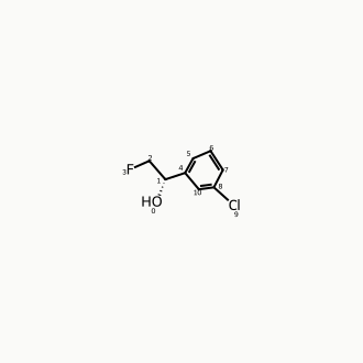 O[C@H](CF)c1cccc(Cl)c1